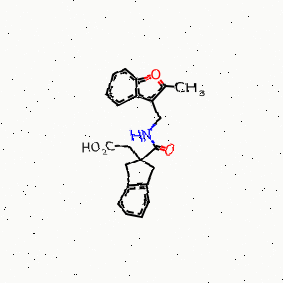 Cc1oc2ccccc2c1CNC(=O)C1(CC(=O)O)Cc2ccccc2C1